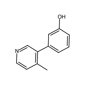 Cc1ccncc1-c1cccc(O)c1